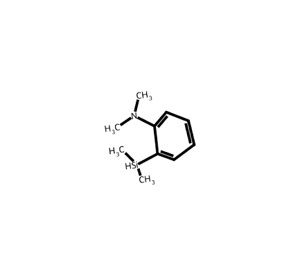 CN(C)c1ccccc1[SiH](C)C